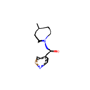 CC1CCN(C(=O)c2cnsc2)CC1